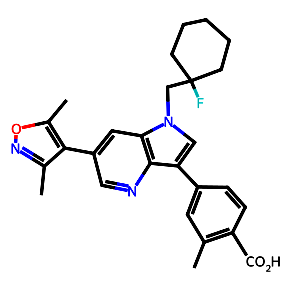 Cc1cc(-c2cn(CC3(F)CCCCC3)c3cc(-c4c(C)noc4C)cnc23)ccc1C(=O)O